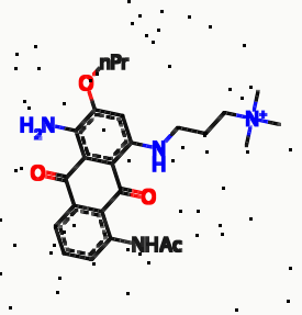 CCCOc1cc(NCCC[N+](C)(C)C)c2c(c1N)C(=O)c1cccc(NC(C)=O)c1C2=O